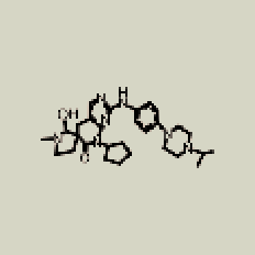 CC(C)N1CCN(c2ccc(Nc3ncc4c(n3)N(C3CCCC3)C(=O)C3(CCN(C)C3O)C4)cc2)CC1